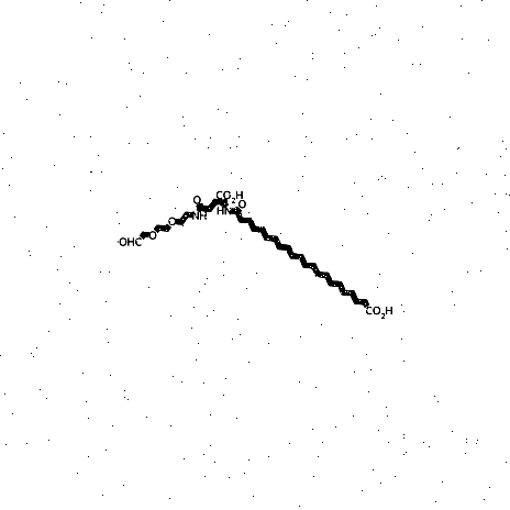 O=[C]COCCOCCNC(=O)CC[C@H](NC(=O)CCCCCCCCCCCCCCCCCCCCC(=O)O)C(=O)O